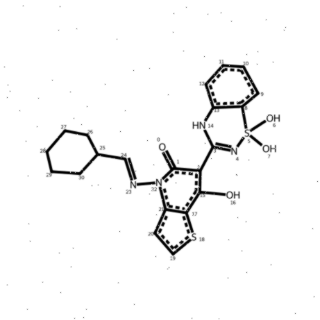 O=c1c(C2=NS(O)(O)c3ccccc3N2)c(O)c2sccc2n1N=CC1CCCCC1